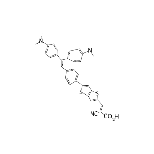 CN(C)c1ccc(C(=Cc2ccc(-c3cc4sc(/C=C(\C#N)C(=O)O)cc4s3)cc2)c2ccc(N(C)C)cc2)cc1